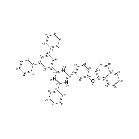 c1ccc(-c2cc(-c3ccccc3)cc(-c3nc(-c4ccccc4)nc(-c4ccc5c(c4)oc4c6ccccc6ccc54)n3)c2)cc1